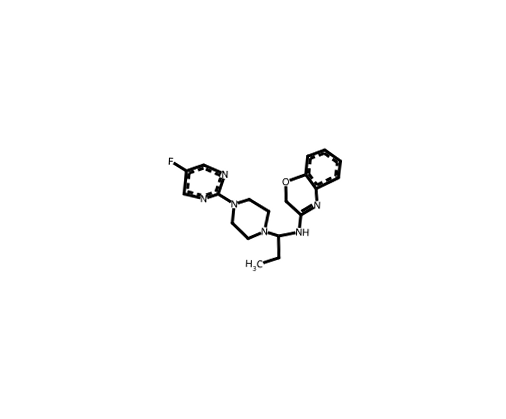 CCC(NC1=Nc2ccccc2OC1)N1CCN(c2ncc(F)cn2)CC1